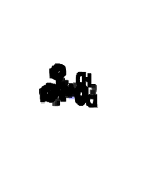 Cc1cc(Cl)ccc1/N=C/N(C)SN(c1ccccc1)c1ccccc1